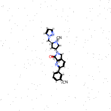 N#Cc1cccc(-c2ccc3c(n2)C(=O)N([C@@H]2C[C@@H](Cn4cccn4)N(C#N)C2)C3)c1